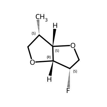 C[C@H]1CO[C@@H]2[C@H]1OC[C@@H]2F